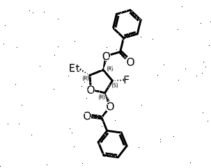 CC[C@H]1O[C@H](OC(=O)c2ccccc2)[C@@H](F)[C@@H]1OC(=O)c1ccccc1